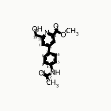 COC(=O)c1cc(-c2ccc(NC(C)=O)cc2)cc(CO)n1